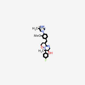 C=CN(/C=C(/C)N)c1ccc(/C=C2\CCON3C2=NCC(O)C3(C)c2ccc(F)cc2)cc1OC